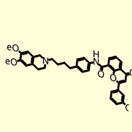 COc1cccc(-c2cc(=O)c3cccc(C(=O)Nc4ccc(CCCCN5CCc6cc(OC)c(OC)cc6C5)cc4)c3o2)c1